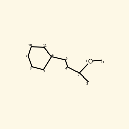 COC(C)CC[C]1CCCCC1